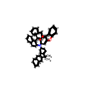 CC1(C)c2ccc(N(c3ccc4c(c3)oc3ccccc34)c3ccc4ccccc4c3-c3cccc4ccccc34)cc2-c2cc3ccccc3cc21